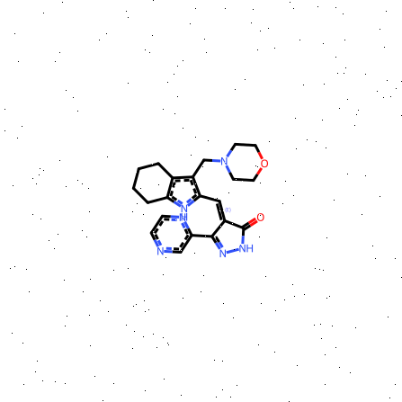 O=C1NN=C(c2cnccn2)/C1=C\c1[nH]c2c(c1CN1CCOCC1)CCCC2